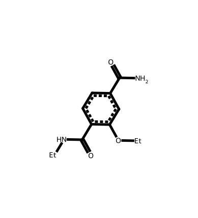 CCNC(=O)c1ccc(C(N)=O)cc1OCC